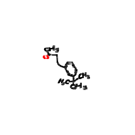 CC(=O)CCc1cccc(C(C)(C)C)c1